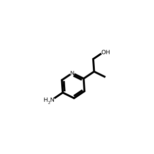 CC(CO)c1ccc(N)cn1